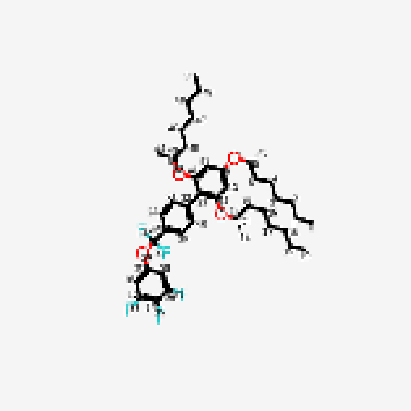 CCCCCC[C@@H](C)Oc1cc(O[C@@H](C)CCCCCC)c(-c2ccc(C(F)(F)Oc3cc(F)c(F)c(F)c3)cc2)c(O[C@@H](C)CCCCCC)c1